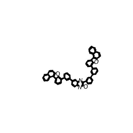 c1cc(-c2ccc3nc4oc5ccc(-c6cccc(-c7cccc8c7oc7ccc9ccccc9c78)c6)cc5c4nc3c2)cc(-c2cccc3c2oc2ccc4ccccc4c23)c1